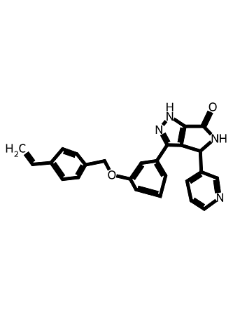 C=Cc1ccc(COc2cccc(-c3n[nH]c4c3C(c3cccnc3)NC4=O)c2)cc1